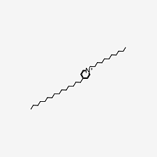 CCCCCCCCCCCCCCCc1cc[n+](CCCCCCCCCCC)cc1